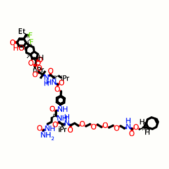 CCCC1O[C@@H]2CC3C[C@@](F)([C@@]4(C)C=CC(=O)C=C4[C@@H](F)CC)[C@@H](O)C[C@]3(C)[C@]2(C(=O)COC(=O)C(C)(C)NC(=O)[C@H](CC(C)C)NC(=O)OCc2ccc(NC(=O)[C@H](CCCNC(N)=O)NC(=O)[C@@H](NC(=O)CCOCCOCCOCCOCCNC(=O)OC[C@@H]3[C@@H]4CCC#CCC[C@@H]43)C(C)C)cc2)O1